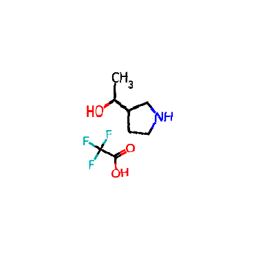 CC(O)C1CCNC1.O=C(O)C(F)(F)F